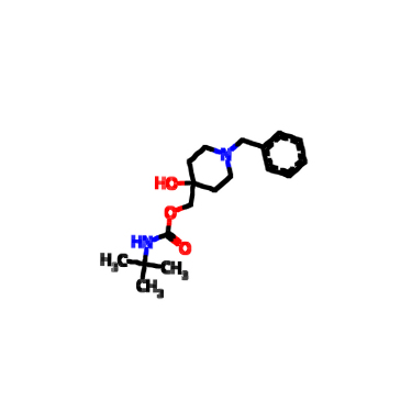 CC(C)(C)NC(=O)OCC1(O)CCN(Cc2ccccc2)CC1